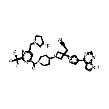 N#CCC1(n2cc(-c3ncnc4[nH]ccc34)cn2)CN(C2CCN(C(=O)c3cc(CN4CC[C@H](F)C4)nc(C(F)(F)F)n3)CC2)C1